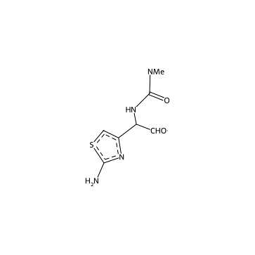 CNC(=O)NC([C]=O)c1csc(N)n1